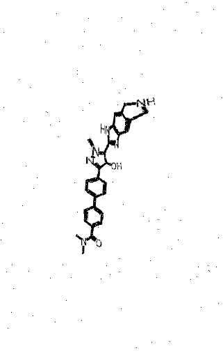 CN(C)C(=O)c1ccc(-c2ccc(C3=NN(C)C(c4nc5cc6c(cc5[nH]4)CNC6)C3O)cc2)cc1